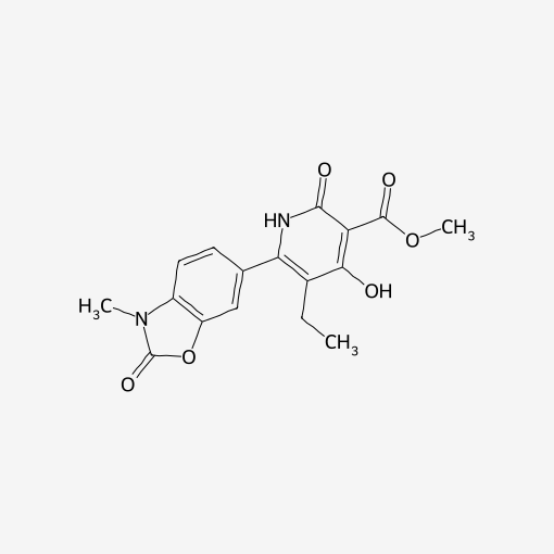 CCc1c(-c2ccc3c(c2)oc(=O)n3C)[nH]c(=O)c(C(=O)OC)c1O